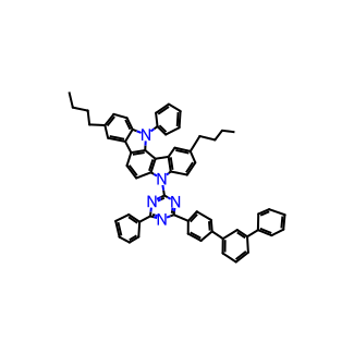 CCCCc1ccc2c(c1)c1c(ccc3c4cc(CCCC)ccc4n(-c4ccccc4)c31)n2-c1nc(-c2ccccc2)nc(-c2ccc(-c3cccc(-c4ccccc4)c3)cc2)n1